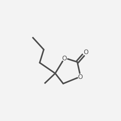 CCCC1(C)COC(=O)O1